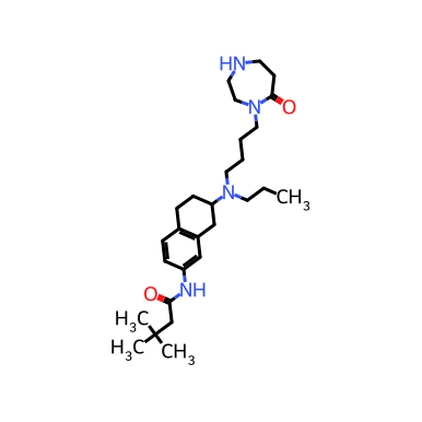 CCCN(CCCCN1CCNCCC1=O)C1CCc2ccc(NC(=O)CC(C)(C)C)cc2C1